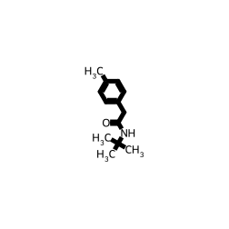 Cc1ccc(CC(=O)NC(C)(C)C)cc1